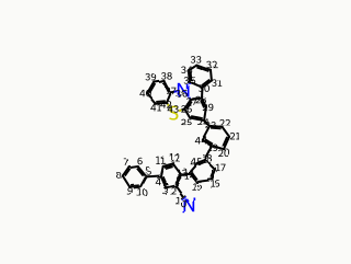 N#Cc1cc(-c2ccccc2)ccc1-c1cccc(-c2cccc(-c3cc4c5c(c3)c3ccccc3n5-c3ccccc3S4)c2)c1